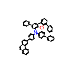 c1ccc(-c2ccc(N(c3ccc(-c4ccc5ccc6ccccc6c5c4)cc3)c3cc(-c4ccccc4)cc4c3oc3c(-c5ccccc5)cccc34)cc2)cc1